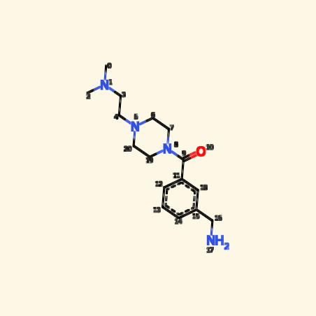 CN(C)CCN1CCN(C(=O)c2cccc(CN)c2)CC1